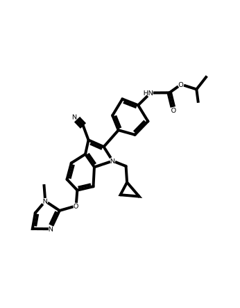 CC(C)OC(=O)Nc1ccc(-c2c(C#N)c3ccc(Oc4nccn4C)cc3n2CC2CC2)cc1